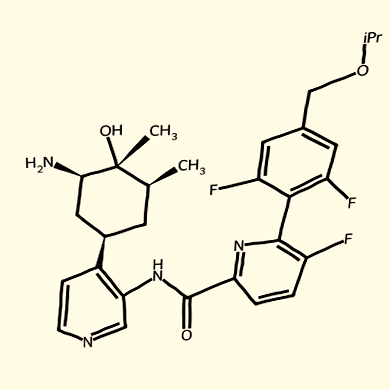 CC(C)OCc1cc(F)c(-c2nc(C(=O)Nc3cnccc3[C@H]3C[C@@H](N)[C@](C)(O)[C@@H](C)C3)ccc2F)c(F)c1